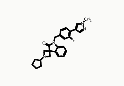 Cn1cc(-c2ccc(CN3C(=O)C4(CN(C5CCCC5)C4)c4ccccc43)cc2F)cn1